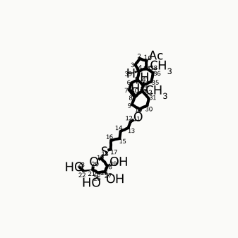 CC(=O)[C@H]1CC[C@H]2[C@@H]3CC=C4CC(OCCCCCCS[C@@H]5O[C@H](CO)[C@@H](O)[C@H](O)[C@@H]5O)CC[C@]4(C)[C@H]3CC[C@]12C